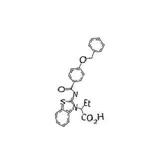 CCC(C(=O)O)n1/c(=N/C(=O)c2ccc(OCc3ccccc3)cc2)sc2ccccc21